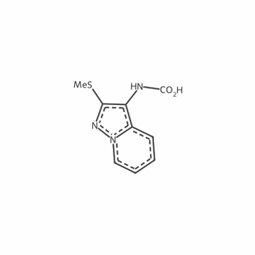 CSc1nn2ccccc2c1NC(=O)O